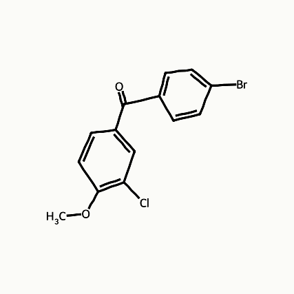 COc1ccc(C(=O)c2ccc(Br)cc2)cc1Cl